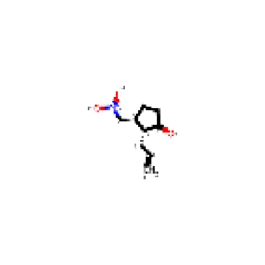 C=CC[C@H]1C(=O)CC[C@@H]1C[N+](=O)[O-]